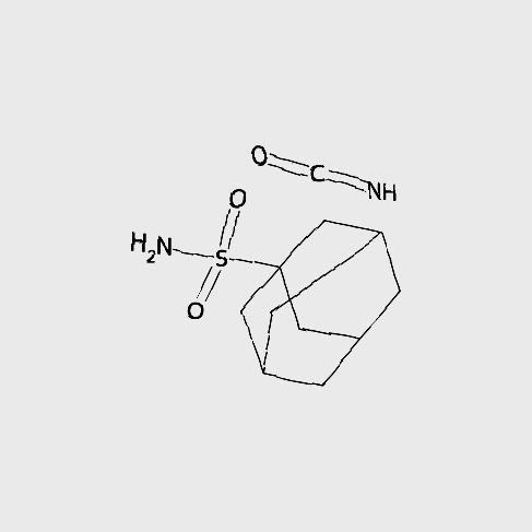 N=C=O.NS(=O)(=O)C12CC3CC(CC(C3)C1)C2